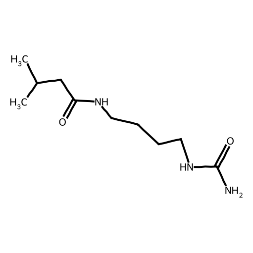 CC(C)CC(=O)NCCCCNC(N)=O